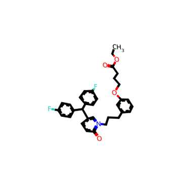 CCOC(=O)CCCOc1cccc(CCCn2cc(C(c3ccc(F)cc3)c3ccc(F)cc3)ccc2=O)c1